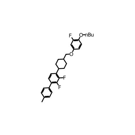 CCCCOc1ccc(OCC2CCC(c3ccc(-c4ccc(C)cc4)c(F)c3F)CC2)cc1F